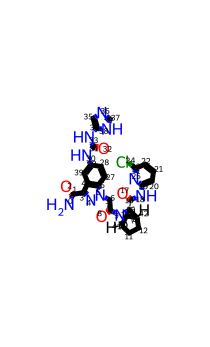 NC(=O)c1nn(CC(=O)N2[C@@H]3CC[C@@H](C3)[C@H]2C(=O)Nc2cccc(Cl)n2)c2ccc(NC(=O)Nc3cnc[nH]3)cc12